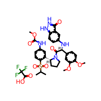 COC(=O)Nc1ccc(S(=O)(=O)C(C)C)c([C@H]2CCCN2C(=O)[C@H](Nc2ccc3[nH][nH]c(=O)c3c2)c2ccc(OC)c(OC)c2)c1.O=C(O)C(F)(F)F